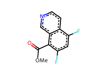 COC(=O)c1c(F)cc(F)c2ccncc12